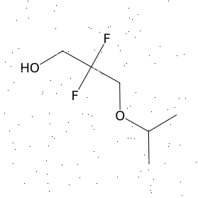 CC(C)OCC(F)(F)CO